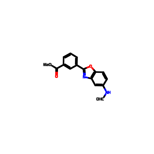 COC(=O)c1cccc(-c2nc3cc(NC=O)ccc3o2)c1